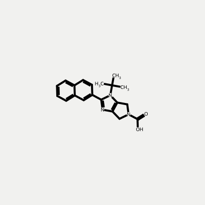 CC(C)(C)n1c(-c2ccc3ccccc3c2)nc2c1CN(C(=O)O)C2